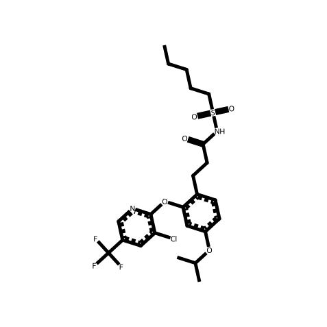 CCCCCS(=O)(=O)NC(=O)CCc1ccc(OC(C)C)cc1Oc1ncc(C(F)(F)F)cc1Cl